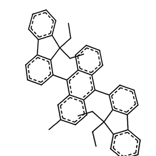 CCC1(CC)c2ccccc2-c2cccc(-c3c4ccccc4c(-c4cccc5c4C(CC)(CC)c4ccccc4-5)c4cc(C)ccc34)c21